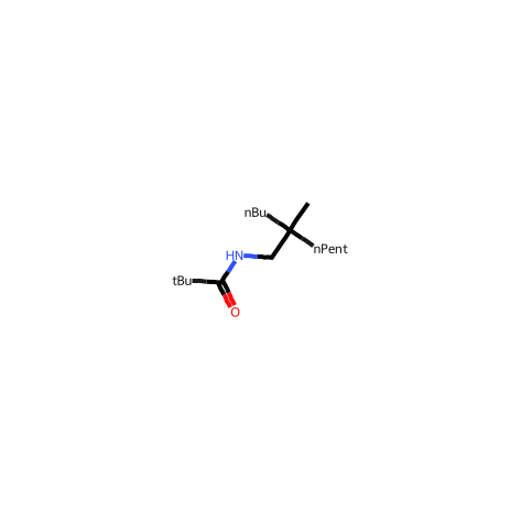 CCCCCC(C)(CCCC)CNC(=O)C(C)(C)C